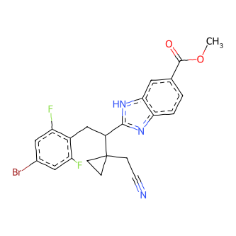 COC(=O)c1ccc2nc(C(Cc3c(F)cc(Br)cc3F)C3(CC#N)CC3)[nH]c2c1